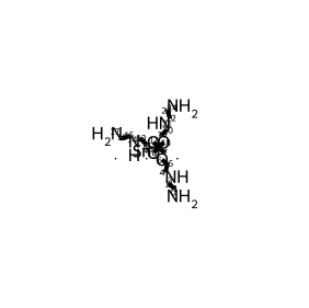 NCCNCCOCC([O][Sn])(OCCNCCN)OCCNCCN